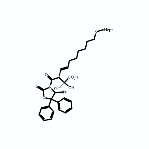 CCCCCCCSCCCCCCC=C[C@H](C(=O)N1C(=S)OC(c2ccccc2)(c2ccccc2)C1C(C)C)[C@@](O)(CCC)C(=O)O